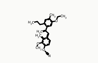 C=C(/C=c1/ccc(OC#N)c(OC)c1=C)c1cc(OCC)c(C)cc1CCC